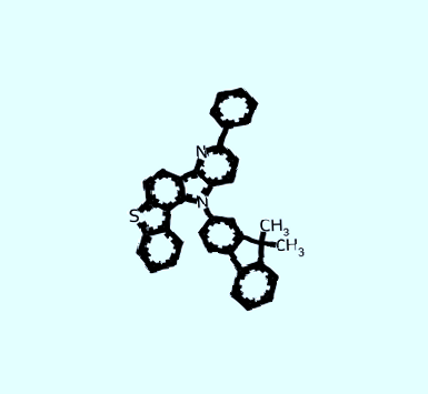 CC1(C)c2ccccc2-c2ccc(-n3c4ccc(-c5ccccc5)nc4c4ccc5sc6ccccc6c5c43)cc21